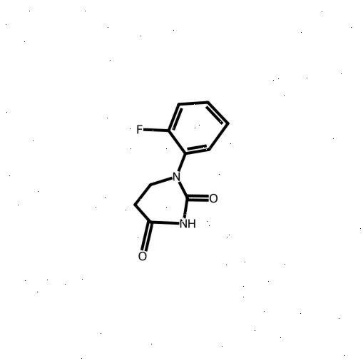 O=C1CCN(c2ccccc2F)C(=O)N1